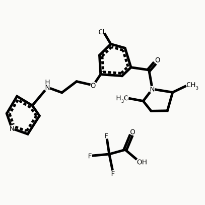 CC1CCC(C)N1C(=O)c1cc(Cl)cc(OCCNc2ccncc2)c1.O=C(O)C(F)(F)F